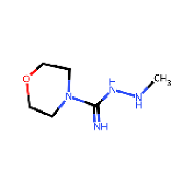 CNNC(=N)N1CCOCC1